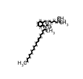 CCCCCCCCCCCCCCCCCC(C)N(C=O)c1ccccc1COCCCCN(C)C